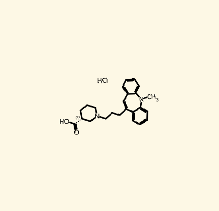 CN1c2ccccc2C=C(CCCN2CCC[C@@H](C(=O)O)C2)c2ccccc21.Cl